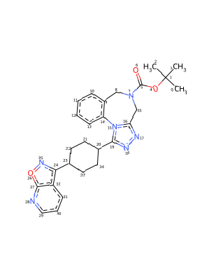 CC(C)(C)OC(=O)N1Cc2ccccc2-n2c(nnc2C2CCC(c3noc4ncccc34)CC2)C1